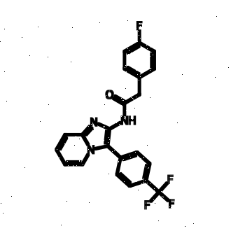 O=C(Cc1ccc(F)cc1)Nc1nc2ccccn2c1-c1ccc(C(F)(F)F)cc1